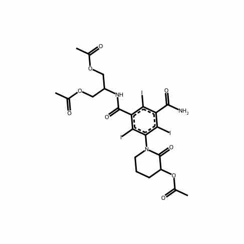 CC(=O)OCC(COC(C)=O)NC(=O)c1c(I)c(C(N)=O)c(I)c(N2CCCC(OC(C)=O)C2=O)c1I